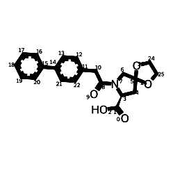 O=C(O)[C@@H]1CC2(CN1C(=O)Cc1ccc(-c3ccccc3)cc1)OCCO2